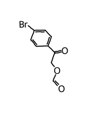 O=COCC(=O)c1ccc(Br)cc1